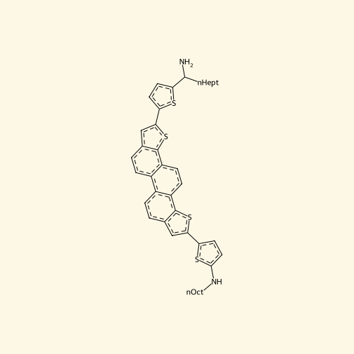 CCCCCCCCNc1ccc(-c2cc3ccc4c5ccc6cc(-c7ccc(C(N)CCCCCCC)s7)sc6c5ccc4c3s2)s1